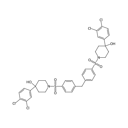 O=S(=O)(c1ccc(Cc2ccc(S(=O)(=O)N3CCC(O)(c4ccc(Cl)c(Cl)c4)CC3)cc2)cc1)N1CCC(O)(c2ccc(Cl)c(Cl)c2)CC1